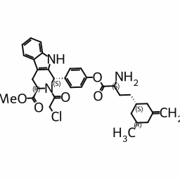 C=C1C[C@H](C)C[C@H](CC[C@H](N)C(=O)Oc2ccc([C@H]3c4[nH]c5ccccc5c4C[C@H](C(=O)OC)N3C(=O)CCl)cc2)C1